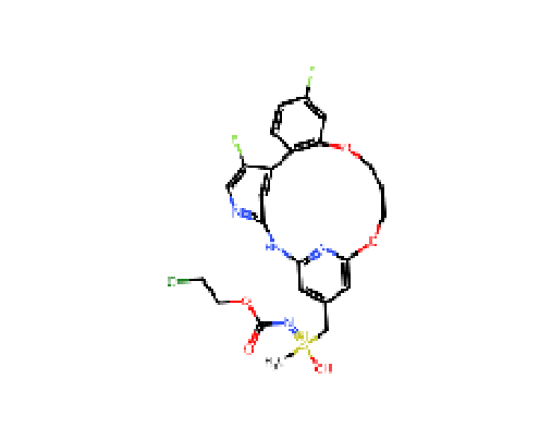 C[SH](O)(Cc1cc2nc(c1)OCCCOc1cc(F)ccc1-c1cc(ncc1F)N2)=NC(=O)OCCCl